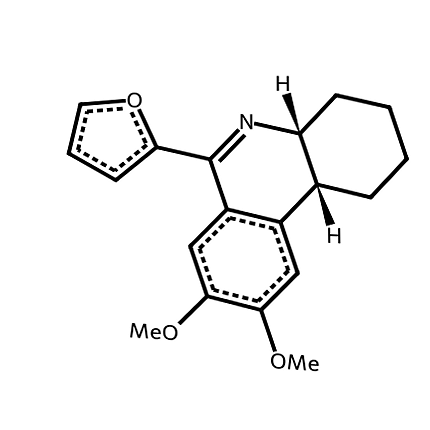 COc1cc2c(cc1OC)[C@H]1CCCC[C@H]1N=C2c1ccco1